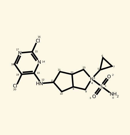 NS(=O)(=O)[N+]1(C2CC2)CC2CC(Nc3nc(Cl)ncc3Cl)CC2C1